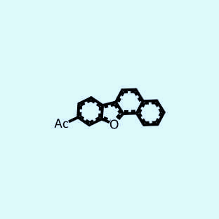 CC(=O)c1ccc2c(c1)oc1c3ccccc3ccc21